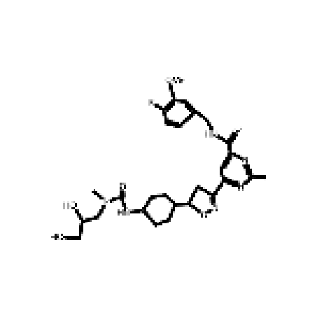 COc1cc(CNC(=O)c2cc(C3=NOC(C4CCC(NC(=O)N(C)CC(O)CO)CC4)C3)nc(C)n2)ccc1F